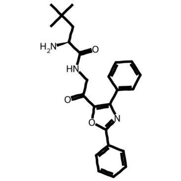 CC(C)(C)C[C@H](N)C(=O)NCC(=O)c1oc(-c2ccccc2)nc1-c1ccccc1